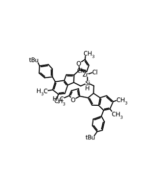 Cc1ccc(C2=Cc3c(cc(C)c(C)c3-c3ccc(C(C)(C)C)cc3)C2C[SiH](CC2C(c3ccc(C)o3)=Cc3c2cc(C)c(C)c3-c2ccc(C(C)(C)C)cc2)[Zr]([Cl])[Cl])o1